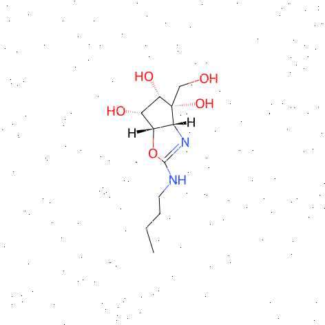 CCCCNC1=N[C@@H]2[C@H](O1)[C@H](O)[C@H](O)[C@@]2(O)CO